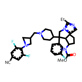 CCc1nccn1CC(c1cccc(F)c1)(C1CCN(CC2CN(c3c(F)cc(C#N)cc3F)C2)CC1)C1CCCC1NC(=O)OC